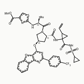 C=CC1CC1(NC(=O)[C@@H]1C[C@@H](Oc2nc(-c3ccc(C(F)(F)F)cc3)nc3c2oc2ccccc23)CN1C(=O)[C@@H](Nc1nc(C(=O)OC)cs1)C(C)(C)C)C(=O)NS(=O)(=O)C1CC1